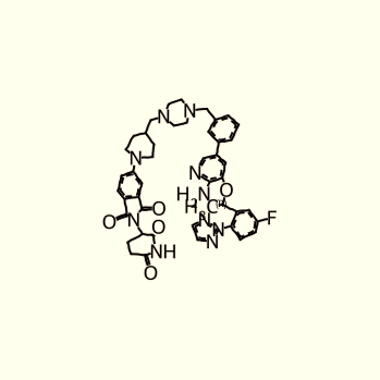 C[C@@H](Oc1cc(-c2cccc(CN3CCN(CC4CCN(c5ccc6c(c5)C(=O)N(C5CCC(=O)NC5=O)C6=O)CC4)CC3)c2)cnc1N)c1cc(F)ccc1-n1nccn1